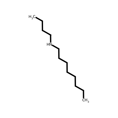 CCC[CH]NCCCCCCCC